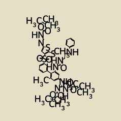 CSc1sc(N=CNC(=O)OC(C)(C)C)cc1S(=O)(=O)c1cccc(-c2c(C)cc(NC(=NC(=O)OC(C)(C)C)NC(=O)OC(C)(C)C)cc2NC(=O)NCCNc2ccccc2)c1